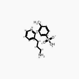 Cc1ccc(S(=O)(=O)O)cc1.NCCCc1cccnc1